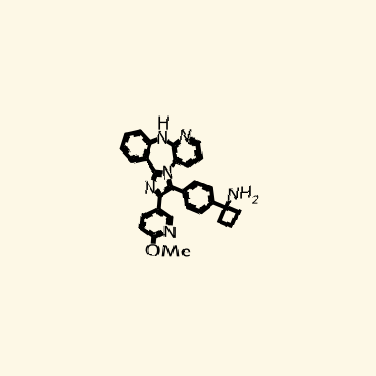 COc1ccc(-c2nc3n(c2-c2ccc(C4(N)CCC4)cc2)-c2cccnc2Nc2ccccc2-3)cn1